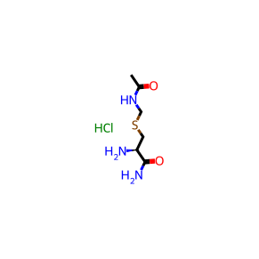 CC(=O)NCSC[C@H](N)C(N)=O.Cl